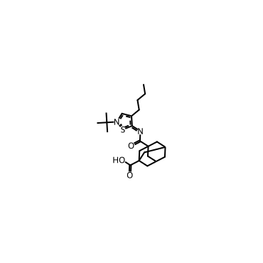 CCCCc1cn(C(C)(C)C)sc1=NC(=O)C12CC3CC(CC(C(=O)O)(C3)C1)C2